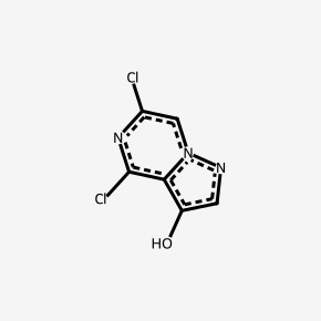 Oc1cnn2cc(Cl)nc(Cl)c12